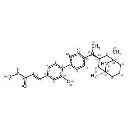 CNC(=O)/C=C/c1ccc(-c2ccc(N(C)[C@@H]3C[C@]4(C)CCC[C@](C)(C3)N4)nn2)c(O)c1